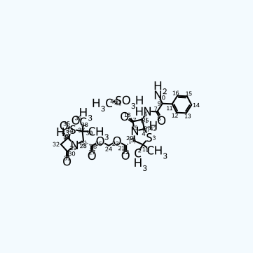 CC1(C)S[C@@H]2[C@H](NC(=O)C(N)c3ccccc3)C(=O)N2[C@H]1C(=O)OCOC(=O)[C@@H]1N2C(=O)C[C@H]2S(=O)(=O)C1(C)C.CS(=O)(=O)O